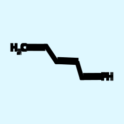 C=CC=CC=P